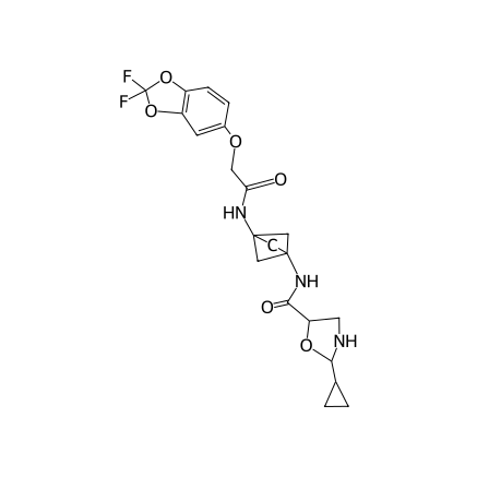 O=C(COc1ccc2c(c1)OC(F)(F)O2)NC12CC(NC(=O)C3CNC(C4CC4)O3)(C1)C2